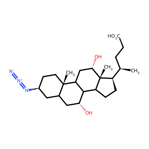 C[C@H](CCC(=O)O)[C@H]1CCC2C3C(C[C@H](O)[C@@]21C)[C@@]1(C)CC[C@H](N=[N+]=[N-])CC1C[C@H]3O